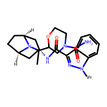 CC(C1CN(C(N)=O)CCO1)N1[C@@H]2CC[C@H]1C[C@H](NC(=O)c1nn(C(C)C)c3ccccc13)C2